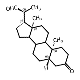 C[C@H](C=O)[C@H]1CCC2C3CC[C@H]4CC(=O)CC[C@]4(C)C3CC[C@@]21C